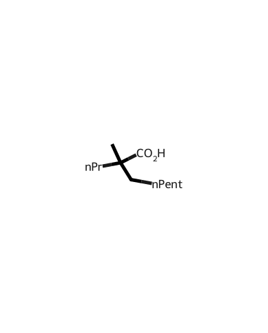 CCCCCCC(C)(CCC)C(=O)O